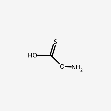 NOC(O)=S